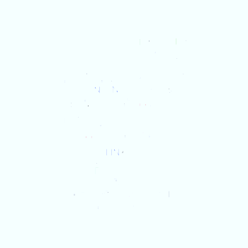 Cc1cc(NC(=O)C2=C(O)C3(C)CCCN3N(Cc3cccc(F)c3F)C2=O)c(C(F)(F)F)o1